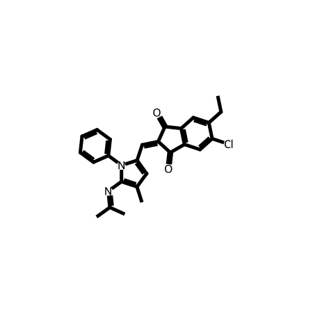 CCc1cc2c(cc1Cl)C(=O)/C(=C\c1cc(C)c(N=C(C)C)n1-c1ccccc1)C2=O